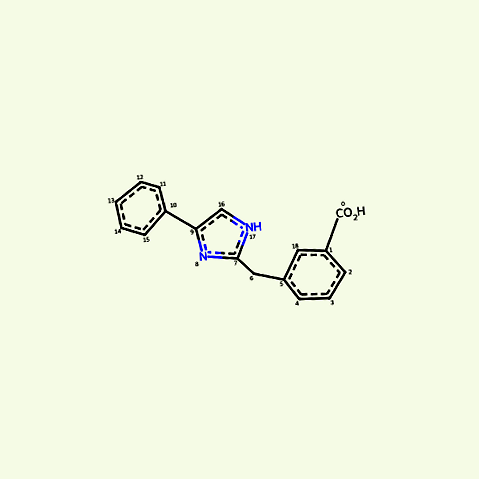 O=C(O)c1cccc(Cc2nc(-c3ccccc3)c[nH]2)c1